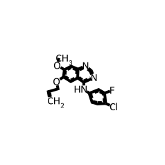 C=CCOc1cc2c(Nc3ccc(Cl)c(F)c3)ncnc2cc1OC